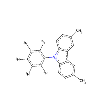 [2H]c1c([2H])c([2H])c(-n2c3ccc(C)cc3c3cc(C)ccc32)c([2H])c1[2H]